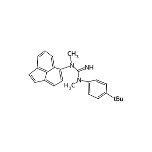 CN(C(=N)N(C)c1ccc2c3c(cccc13)C=C2)c1ccc(C(C)(C)C)cc1